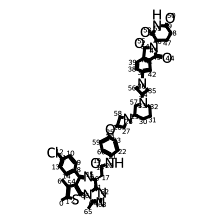 Cc1sc2c(c1C)C(c1ccc(Cl)cc1)=N[C@@H](CC(=O)Nc1ccc(OC3CN([C@@H]4CCCN(C5CN(c6ccc7c(c6)C(=O)N(C6CCC(=O)NC6=O)C7=O)C5)C4)C3)cc1)c1nnc(C)n1-2